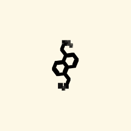 NCc1cccc2c(CN)cccc12